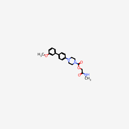 CNC(=O)COC(=O)N1CCN(c2ccc(-c3cccc(OC)c3)cc2)CC1